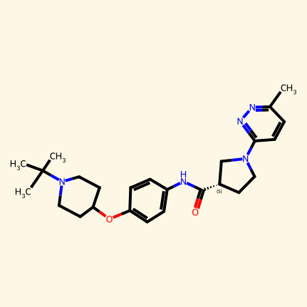 Cc1ccc(N2CC[C@H](C(=O)Nc3ccc(OC4CCN(C(C)(C)C)CC4)cc3)C2)nn1